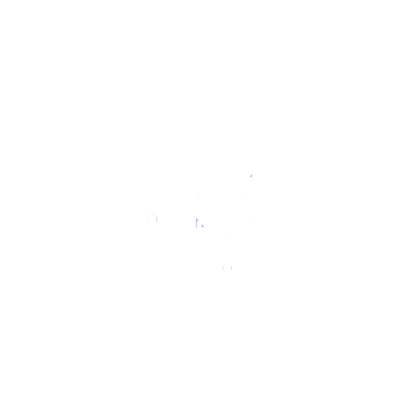 O=c1oc2ccccc2n1CBr